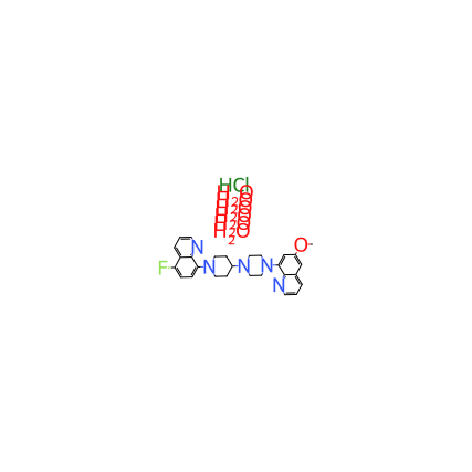 COc1cc(N2CCN(C3CCN(c4ccc(F)c5cccnc45)CC3)CC2)c2ncccc2c1.Cl.O.O.O.O.O.O